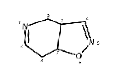 C1=NCC2C=NOC2C1